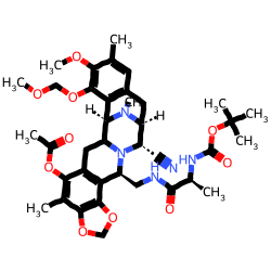 COCOc1c(OC)c(C)cc2c1[C@@H]1C3Cc4c(OC(C)=O)c(C)c5c(c4[C@H](CNC(=O)[C@H](C)NC(=O)OC(C)(C)C)N3[C@@H](C#N)[C@H](C2)N1C)OCO5